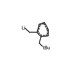 [Li][CH2]c1ccccc1CC(C)(C)C